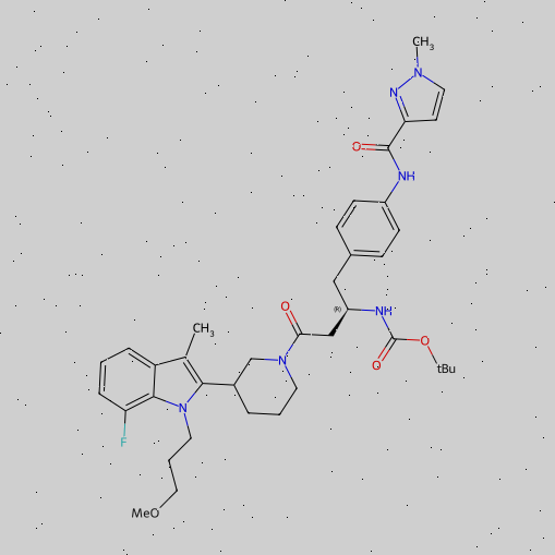 COCCCn1c(C2CCCN(C(=O)C[C@@H](Cc3ccc(NC(=O)c4ccn(C)n4)cc3)NC(=O)OC(C)(C)C)C2)c(C)c2cccc(F)c21